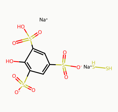 O=S(=O)([O-])c1cc(S(=O)(=O)[O-])c(O)c(S(=O)(=O)O)c1.SS.[Na+].[Na+]